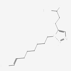 C/C=C/CCCCCCn1nncc1CCC(C)C